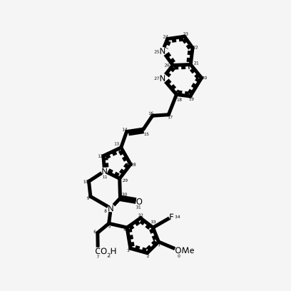 COc1ccc(C(CC(=O)O)N2CCn3cc(/C=C/CCc4ccc5cccnc5n4)cc3C2=O)cc1F